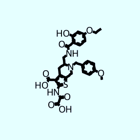 CCOc1ccc(C(=O)NCC2Cc3c(sc(NC(=O)C(=O)O)c3C(=O)O)CN2Cc2ccc(OC)cc2)c(O)c1